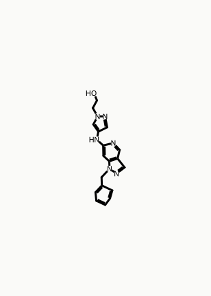 OCCn1cc(Nc2cc3c(cn2)cnn3Cc2ccccc2)cn1